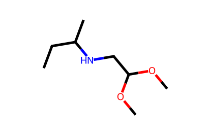 CCC(C)NCC(OC)OC